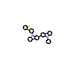 c1ccc(-n2c3ccccc3c3ccc(-c4ccc5c6ccccc6n(-c6ccc7sc8ccccc8c7c6)c5c4)cc32)cc1